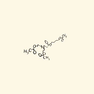 CC(=O)OCCCCOC(=O)CCN(CCOC(C)=O)CCOC(C)=O